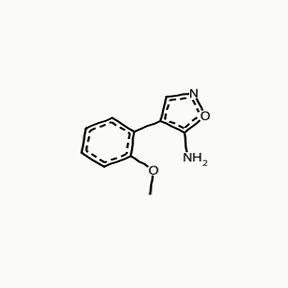 COc1ccccc1-c1cnoc1N